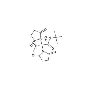 CC(C)[C@](C(=O)OC(C)(C)C)(N1C(=O)CCC1=O)[N+]1(O)C(=O)CCC1=O